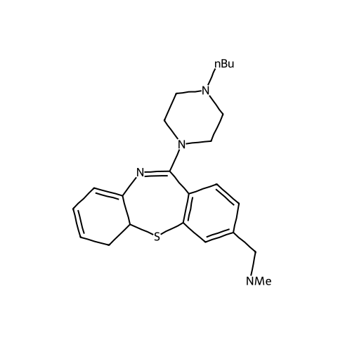 CCCCN1CCN(C2=NC3=CC=CCC3Sc3cc(CNC)ccc32)CC1